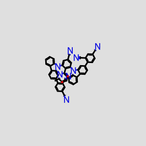 Cc1cccc(-c2c(-n3c4ccccc4c4ccc(-c5ccc(C#N)cc5C#N)cc43)cc(C#N)cc2-n2c3ccccc3c3ccc(-c4ccc(C#N)cc4C#N)cc32)n1